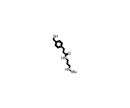 CC(C)(C)NCCCNC(=O)CCc1ccc(CS)cc1